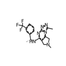 Cc1nnc2nc(N[C@H](C)c3cccc(C(F)(F)F)c3)c3c(n12)CN(C)C3